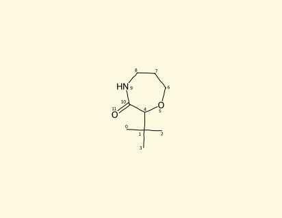 CC(C)(C)C1OCCCNC1=O